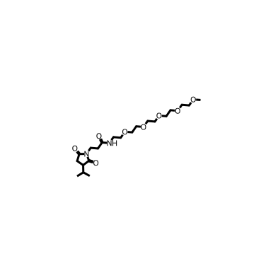 COCCOCCOCCOCCOCCNC(=O)CCN1C(=O)CC(C(C)C)C1=O